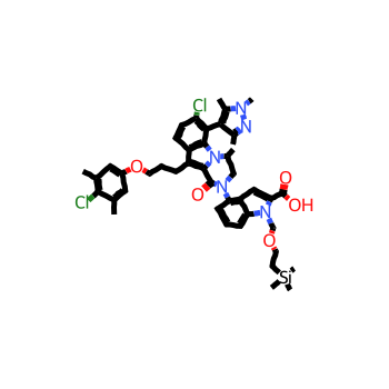 Cc1cc(OCCCc2c3n(c4c(-c5c(C)nn(C)c5C)c(Cl)ccc24)C(C)CN(c2cccc4c2cc(C(=O)O)n4COCC[Si](C)(C)C)C3=O)cc(C)c1Cl